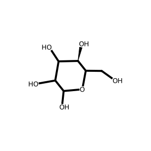 OCC1OC(O)C(O)C(O)[C@H]1O